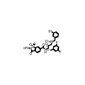 CCCN1C(=O)c2ccc(C(=O)N[C@@H](Cc3cc(F)cc(F)c3)[C@H](O)CNCc3cccc(CC)c3)cc2S1(=O)=O